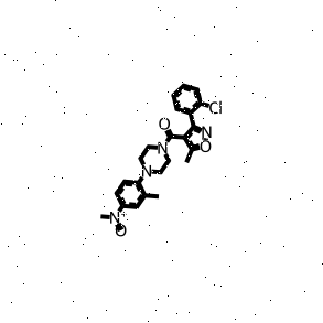 Cc1cc([N+](C)=O)ccc1N1CCN(C(=O)c2c(-c3ccccc3Cl)noc2C)CC1